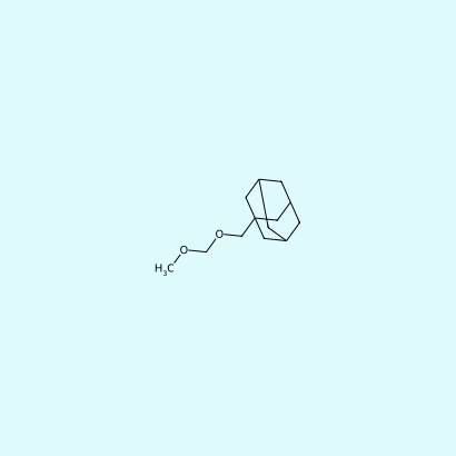 COCOCC12CC3CC(CC(C3)C1)C2